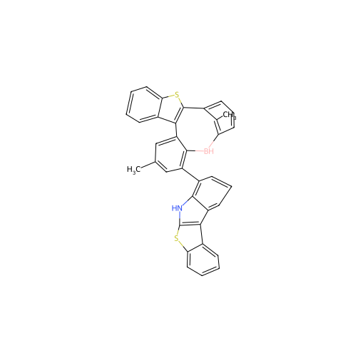 Cc1cc2c(c(-c3cccc4c3[nH]c3sc5ccccc5c34)c1)Bc1cccc(c1C)-c1sc3ccccc3c1-2